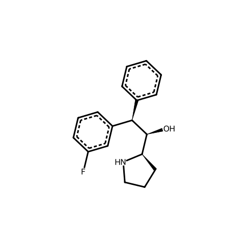 O[C@H]([C@H](c1ccccc1)c1cccc(F)c1)[C@H]1CCCN1